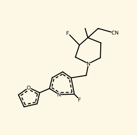 CC1(CC#N)CCN(Cc2ccc(-c3ccco3)nc2F)CC1F